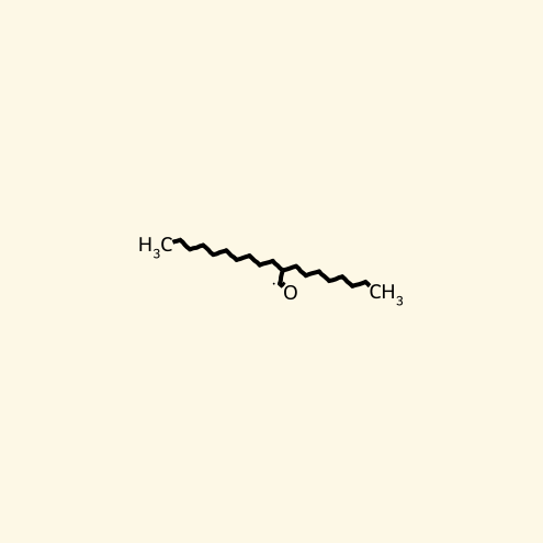 CCCCCCCCCCC([C]=O)CCCCCCCC